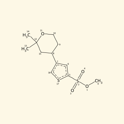 COS(=O)(=O)c1cc(C2CCOC(C)(C)C2)cs1